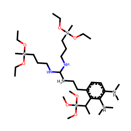 CCO[Si](C)(CCCNC(NCCC[Si](C)(OCC)OCC)[SiH2]CCc1ccc([SiH](C)C)c([SiH](C)C)c1C(C)[Si](OC)(OC)OC)OCC